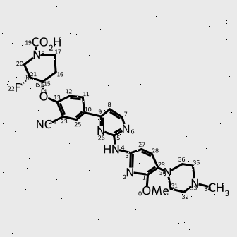 COc1nc(Nc2nccc(-c3ccc(O[C@H]4CCN(C(=O)O)C[C@H]4F)c(C#N)c3)n2)ccc1N1CCN(C)CC1